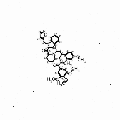 COc1ccc(C(CCN2CCCCC2C(=O)c2nc3ccccc3n2Cc2ccco2)CN(C)C(=O)c2cc(OC)c(OC)c(OC)c2)cc1